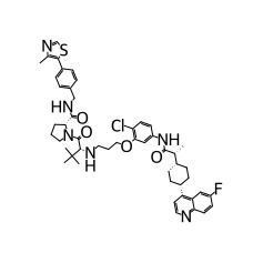 Cc1ncsc1-c1ccc(CNC(=O)[C@H]2CCCN2C(=O)[C@H](NCCCOc2cc(NC(=O)[C@H](C)[C@H]3CC[C@@H](c4ccnc5ccc(F)cc54)CC3)ccc2Cl)C(C)(C)C)cc1